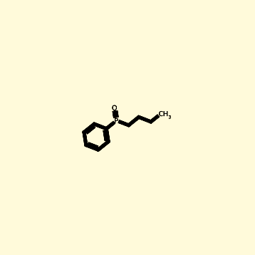 CCCC[P](=O)c1ccccc1